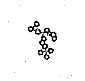 c1ccc(-c2ccccc2-c2ccc(N(c3ccc4c(ccc5cc([Si](c6ccccc6)(c6ccccc6)c6ccccc6)ccc54)c3)c3cccc4c3oc3c5ccccc5ccc43)cc2)cc1